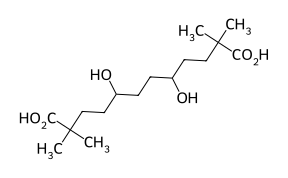 CC(C)(CCC(O)CCC(O)CCC(C)(C)C(=O)O)C(=O)O